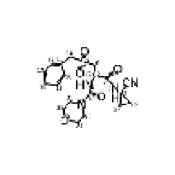 N#CC1(NC(=O)[C@H](CS(=O)(=O)Cc2ccccc2)NC(=O)N2CCOCC2)CC1